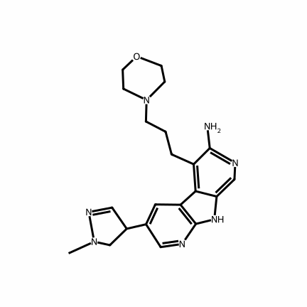 CN1CC(c2cnc3[nH]c4cnc(N)c(CCCN5CCOCC5)c4c3c2)C=N1